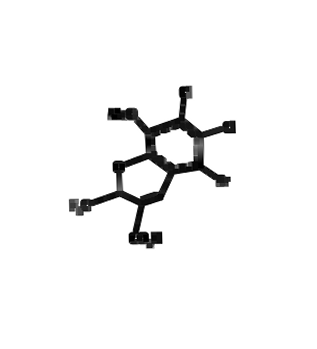 COc1c(Cl)c(Cl)c(Br)c2c1OC(C(F)(F)F)C(C(=O)O)=C2